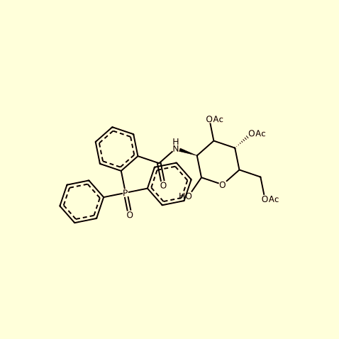 CC(=O)OCC1OC(O)[C@@H](NC(=O)c2ccccc2P(=O)(c2ccccc2)c2ccccc2)C(OC(C)=O)[C@@H]1OC(C)=O